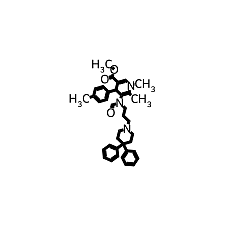 COC(=O)C1=CN(C)C(C)=C(N(C=O)CCCN2CCC(c3ccccc3)(c3ccccc3)CC2)C1c1ccc(C)cc1